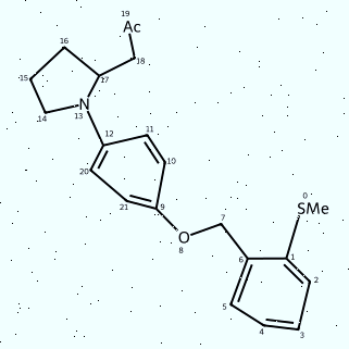 CSc1ccccc1COc1ccc(N2CCCC2CC(C)=O)cc1